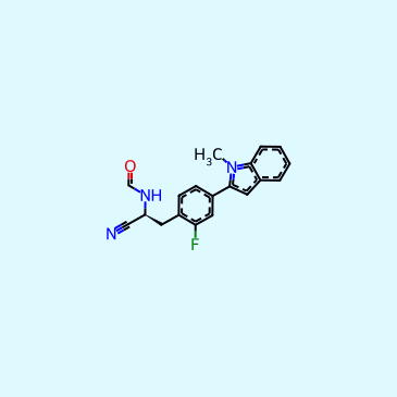 Cn1c(-c2ccc(C[C@@H](C#N)NC=O)c(F)c2)cc2ccccc21